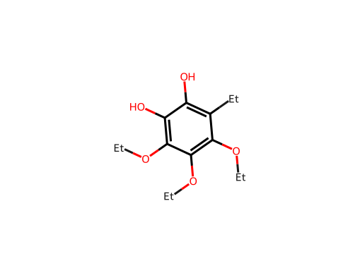 CCOc1c(O)c(O)c(CC)c(OCC)c1OCC